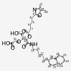 Cc1nc(CCCCCOC(C(=O)NCCCCCc2ccc3ccccc3c2)C(OCC(=O)O)C(=O)O)oc1C